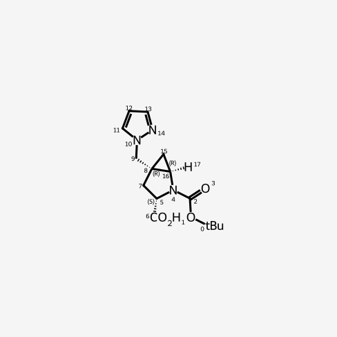 CC(C)(C)OC(=O)N1[C@H](C(=O)O)C[C@@]2(Cn3cccn3)C[C@@H]12